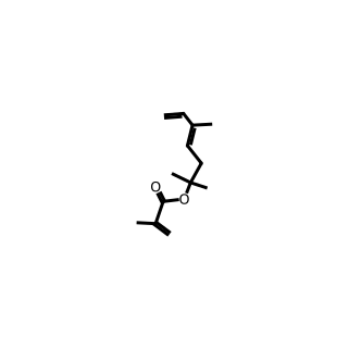 C=CC(C)=CCC(C)(C)OC(=O)C(=C)C